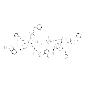 CS(=O)(=O)NCCCC[C@@H](NC1CCC2(CC1)CCN(Cc1ccccc1)C2)C(=O)N1CCN(C(=O)Oc2ccc(CS(=O)(=O)NCCCC[C@@H](NC3CCC4(CC3)CCN(Cc3ccccc3)C4)C(=O)N3CCN(C(=O)Oc4cccc5c4CCNC5)C[C@H]3C(=O)NCc3ccc[nH]3)c(CN)c2Cl)C[C@H]1C(=O)NCc1cccs1